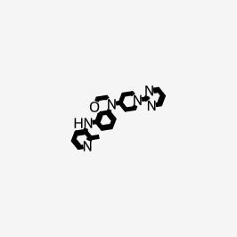 Cc1ncccc1Nc1cccc2c1OCCN2C1CCN(c2ncccn2)CC1